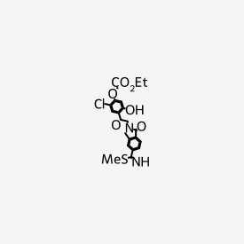 CCOC(=O)COc1cc(O)c(C(=O)CN2Cc3cc(C(=N)SC)ccc3C2=O)cc1Cl